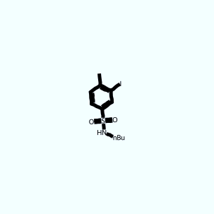 CCCCNS(=O)(=O)c1ccc(C)c(I)c1